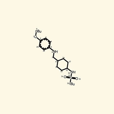 CCCCOc1ccc(NCC2CCC(NS(=O)(=O)C(C)(C)C)CC2)cc1